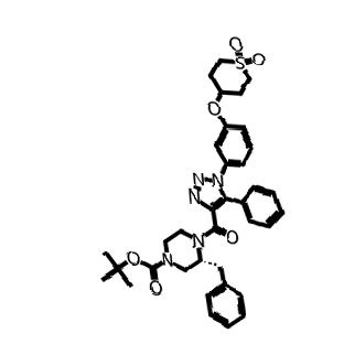 CC(C)(C)OC(=O)N1CCN(C(=O)c2nnn(-c3cccc(OC4CCS(=O)(=O)CC4)c3)c2-c2ccccc2)[C@H](Cc2ccccc2)C1